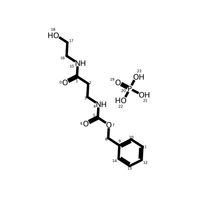 O=C(CCNC(=O)OCc1ccccc1)NCCO.O=P(O)(O)O